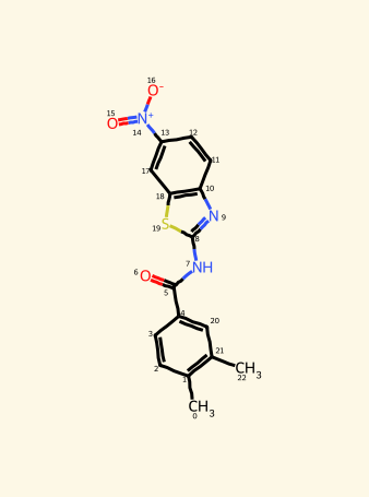 Cc1ccc(C(=O)Nc2nc3ccc([N+](=O)[O-])cc3s2)cc1C